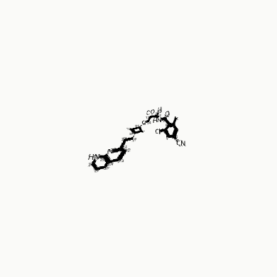 Cc1cc(C#N)cc(Cl)c1C(=O)N[C@@H](CCO[C@H]1C[C@@H](CCc2ccc3c(n2)NCCC3)C1)C(=O)O